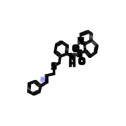 O=S(=O)(Nc1ccccc1CSC/C=C/c1ccccc1)c1cccc2cccnc12